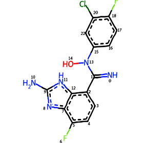 N=C(c1ccc(F)c2nc(N)[nH]c12)N(O)c1ccc(F)c(Cl)c1